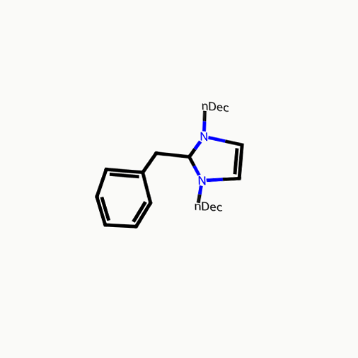 CCCCCCCCCCN1C=CN(CCCCCCCCCC)C1Cc1ccccc1